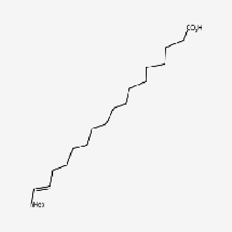 CCCCCCC=CCCCCCCCCCCCCCCC(=O)O